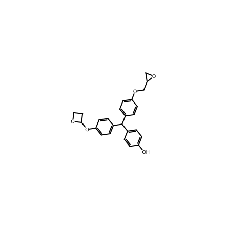 Oc1ccc(C(c2ccc(OCC3CO3)cc2)c2ccc(OC3CCO3)cc2)cc1